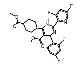 COC(=O)C1=C(C2CCC(C(=O)OC)CC2)NC(c2ncc(F)cc2F)=NC1c1ccc(F)cc1Cl